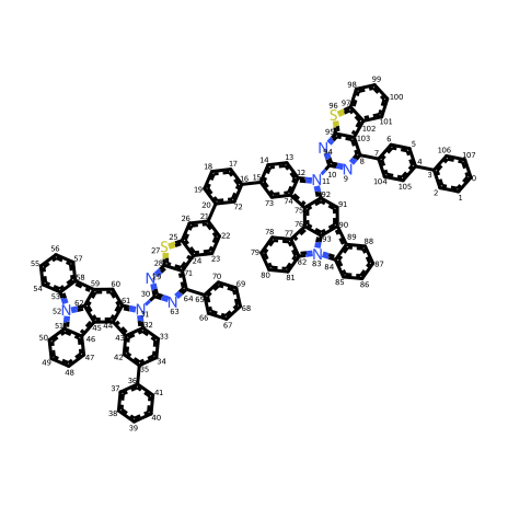 c1ccc(-c2ccc(-c3nc(-n4c5ccc(-c6cccc(-c7ccc8c(c7)sc7nc(-n9c%10ccc(-c%11ccccc%11)cc%10c%10c%11c%12ccccc%12n%12c%13ccccc%13c(cc%109)c%11%12)nc(-c9ccccc9)c78)c6)cc5c5c6c7ccccc7n7c8ccccc8c(cc54)c67)nc4sc5ccccc5c34)cc2)cc1